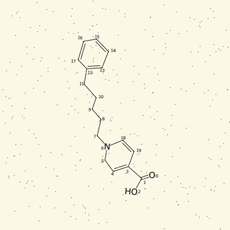 O=C(O)C1=CCN(CCCCCc2ccccc2)C=C1